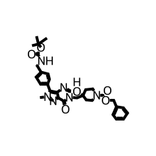 Cn1nc2c(=O)n(CC3(O)CCN(C(=O)OCc4ccccc4)CC3)cnc2c1-c1ccc(CNC(=O)OC(C)(C)C)cc1